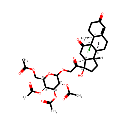 CC(=O)OC[C@H]1OC(OCC(=O)[C@@]2(O)CC[C@H]3[C@@H]4CCC5=CC(=O)CC[C@]5(C)[C@@]4(F)C(=O)C[C@@]32C)[C@H](OC(C)=O)[C@@H](OC(C)=O)[C@@H]1OC(C)=O